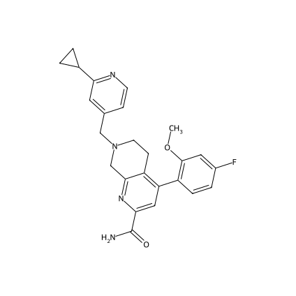 COc1cc(F)ccc1-c1cc(C(N)=O)nc2c1CCN(Cc1ccnc(C3CC3)c1)C2